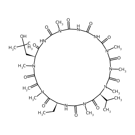 C=C1C(=O)N(C)[C@@H](CC(C)(C)O)C(=O)NC(=O)N(C)C(=O)NC(=O)NC(=O)N(C)C(=O)N(C)C(=O)N(C)[C@@H](C(C)C)C(=O)N(C)C(=O)N[C@@H](CC)C(=O)N1C